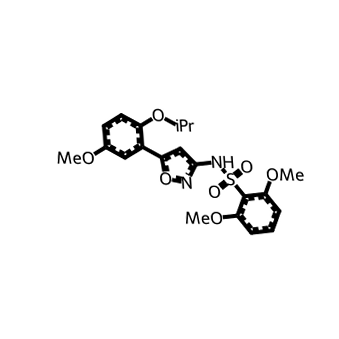 COc1ccc(OC(C)C)c(-c2cc(NS(=O)(=O)c3c(OC)cccc3OC)no2)c1